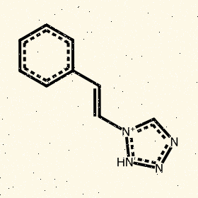 C(=C\[n+]1cnn[nH]1)/c1ccccc1